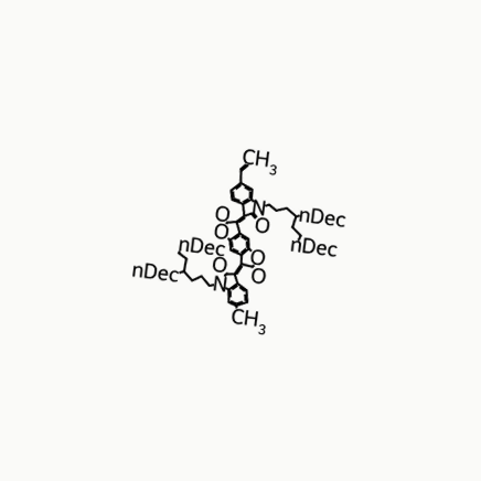 C/C=C/c1ccc2c(c1)N(CCCC(CCCCCCCCCC)CCCCCCCCCCCC)C(=O)/C2=C1/C(=O)Oc2cc3c(cc21)OC(=O)/C3=C1/C(=O)N(CCCC(CCCCCCCCCC)CCCCCCCCCCCC)c2cc(C)ccc21